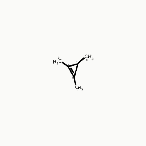 C[C]1C(C)=C1C